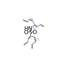 C=C/C=C\C(=C/C=C)NS(=O)(=O)C(/C=C\C=C)=C/C=C